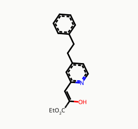 CCOC(=O)/C(O)=C/c1cc(CCc2ccccc2)ccn1